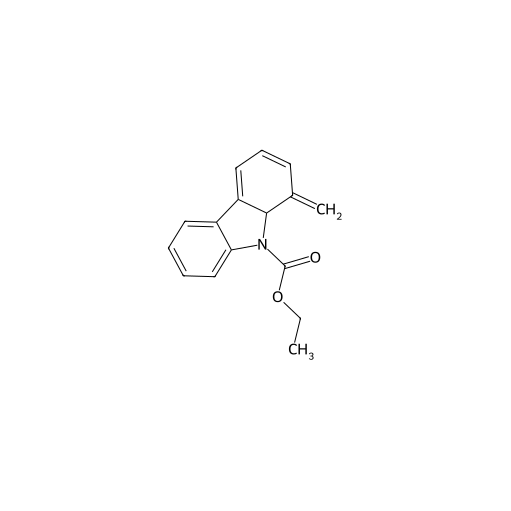 C=C1C=CC=C2c3ccccc3N(C(=O)OCC)C12